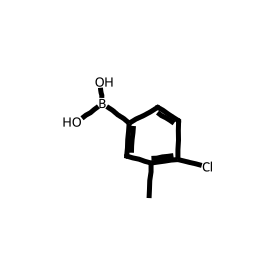 Cc1cc(B(O)O)ccc1Cl